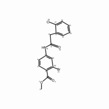 COC(=O)c1ccc(NC(=O)Cc2ccccc2Cl)cc1Br